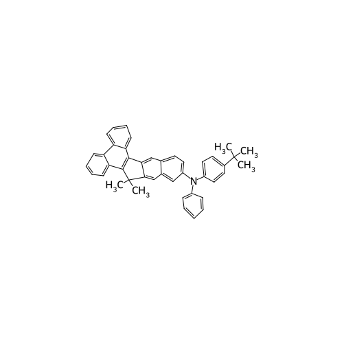 CC(C)(C)c1ccc(N(c2ccccc2)c2ccc3cc4c(cc3c2)C(C)(C)c2c-4c3ccccc3c3ccccc23)cc1